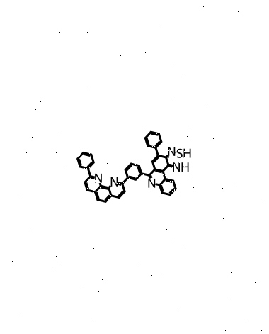 N=C1/C(=N\S)C(c2ccccc2)=Cc2c(-c3cccc(-c4ccc5ccc6ccc(-c7ccccc7)nc6c5n4)c3)nc3ccccc3c21